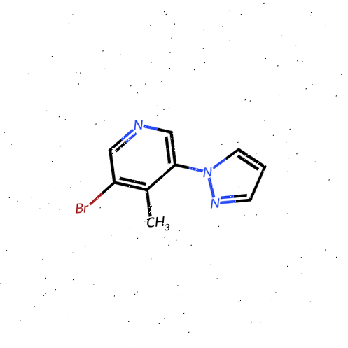 Cc1c(Br)cncc1-n1cccn1